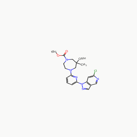 COC1(C)CN(C(=O)OC(C)(C)C)CCN(c2cccc(-n3ncc4cnc(Cl)cc43)n2)C1